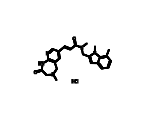 Cc1cccc2cc(CN(C)C(=O)C=Cc3cnc4c(c3)CN(C)CC(=O)N4)n(C)c12.Cl